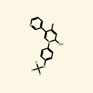 CC1=CC(O)N(c2ccc(OC(F)(F)F)cc2)C=C1c1cccnc1